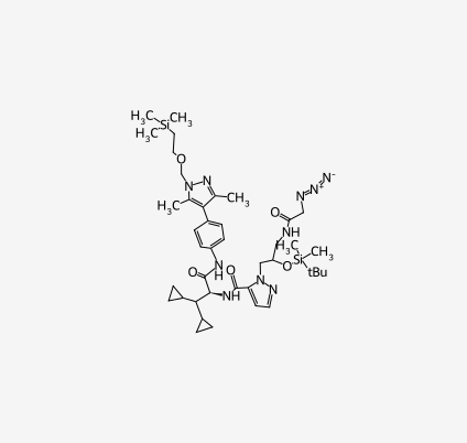 Cc1nn(COCC[Si](C)(C)C)c(C)c1-c1ccc(NC(=O)[C@@H](NC(=O)c2ccnn2CC(CNC(=O)CN=[N+]=[N-])O[Si](C)(C)C(C)(C)C)C(C2CC2)C2CC2)cc1